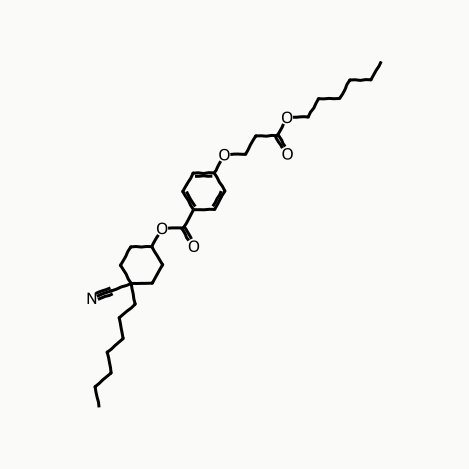 CCCCCCCC1(C#N)CCC(OC(=O)c2ccc(OCCC(=O)OCCCCCC)cc2)CC1